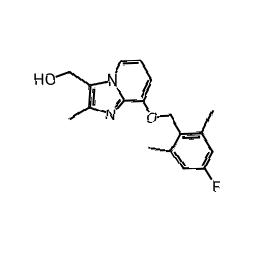 Cc1cc(F)cc(C)c1COc1cccn2c(CO)c(C)nc12